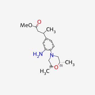 COC(=O)CC(C)c1ccc(N2C[C@@H](C)O[C@@H](C)C2)c(N)c1